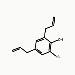 C=CCc1cc(CC=C)c(O)c(C(C)(C)C)c1